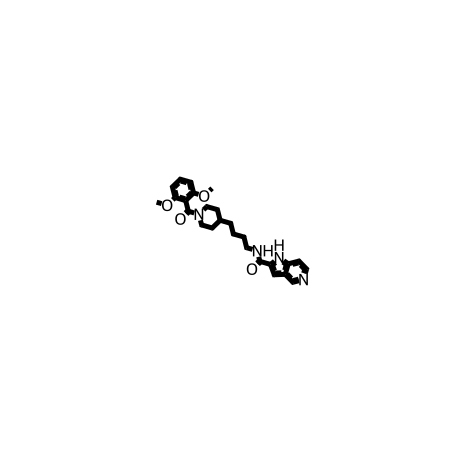 COc1cccc(OC)c1C(=O)N1CCC(CCCCNC(=O)c2cc3cnccc3[nH]2)CC1